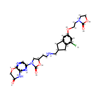 O=C1COc2ncc(N3CC(CCNCC4Cc5cc(OCCN6CCOC6=O)cc(F)c5C4)OC3=O)nc2N1